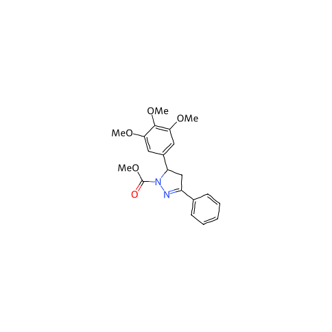 COC(=O)N1N=C(c2ccccc2)CC1c1cc(OC)c(OC)c(OC)c1